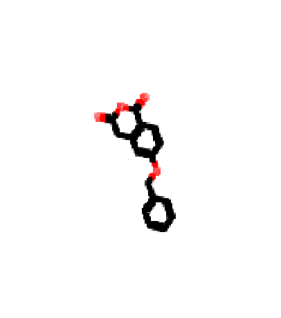 O=C1Cc2cc(OCc3ccccc3)ccc2C(=O)O1